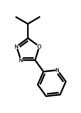 CC(C)c1nnc(-c2ccccn2)o1